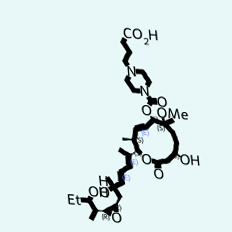 CCC(O)C(C)[C@H]1O[C@@H]1CC(C)(O)/C=C/C=C(\C)[C@H]1OC(=O)C[C@@H](O)CC[C@](C)(OC)[C@@H](OC(=O)N2CCN(CCCC(=O)O)CC2)/C=C/[C@@H]1C